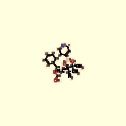 CC1(C)OB(C2=CCN=CC2)OC1(C)C.O=COCC1C=CC=CC1